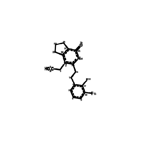 O=C(O)Cn1c(CCc2cccc(F)c2F)nc(=O)c2c1CCC2